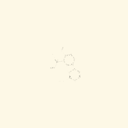 C=Cc1ccccc1C(=O)C=O.Cc1ccccc1